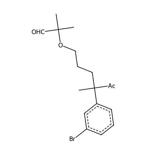 CC(=O)C(C)(CCCOC(C)(C)C=O)c1cccc(Br)c1